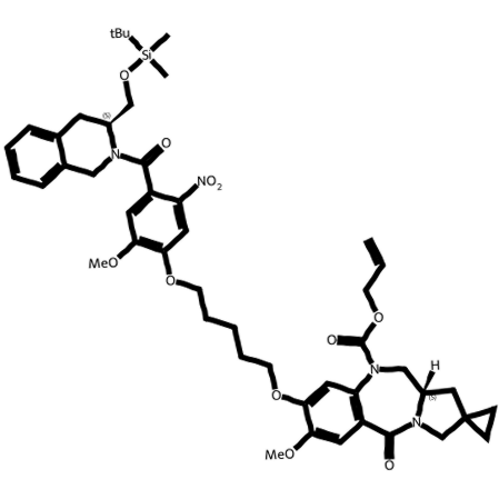 C=CCOC(=O)N1C[C@@H]2CC3(CC3)CN2C(=O)c2cc(OC)c(OCCCCCOc3cc([N+](=O)[O-])c(C(=O)N4Cc5ccccc5C[C@H]4CO[Si](C)(C)C(C)(C)C)cc3OC)cc21